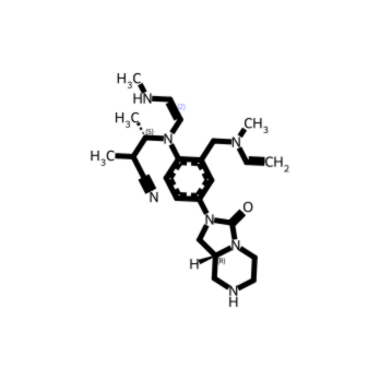 C=CN(C)Cc1cc(N2C[C@H]3CNCCN3C2=O)ccc1N(/C=C\NC)[C@@H](C)C(C)C#N